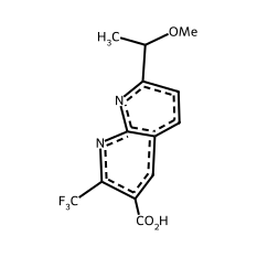 COC(C)c1ccc2cc(C(=O)O)c(C(F)(F)F)nc2n1